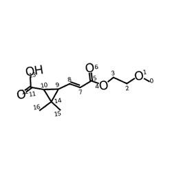 COCCOC(=O)C=CC1C(C(=O)O)C1(C)C